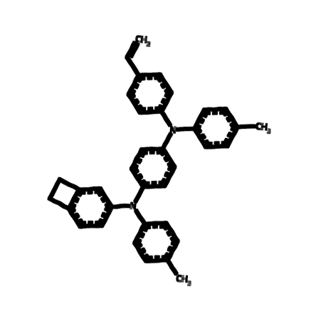 C=Cc1ccc(N(c2ccc(C)cc2)c2ccc(N(c3ccc(C)cc3)c3ccc4c(c3)CC4)cc2)cc1